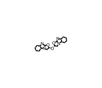 c1ccc2c(c1)nc1oc(Oc3cn4c(nc5ccccc54)o3)cn12